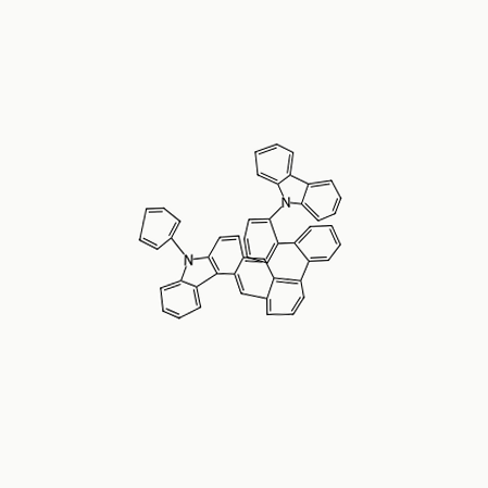 c1ccc(-n2c3ccccc3c3c4cc5cccc(-c6ccccc6-c6ccccc6-n6c7ccccc7c7ccccc76)c5cc4ccc32)cc1